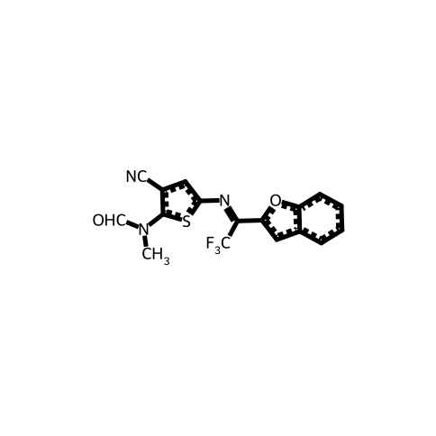 CN(C=O)c1sc(/N=C(/c2cc3ccccc3o2)C(F)(F)F)cc1C#N